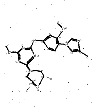 COc1nc(Nc2ccc(-n3cnc(C)c3)c(OC)c2)nc(N2C[C@@H](C)O[C@@H](C)C2)n1